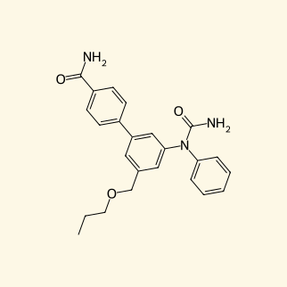 CCCOCc1cc(-c2ccc(C(N)=O)cc2)cc(N(C(N)=O)c2ccccc2)c1